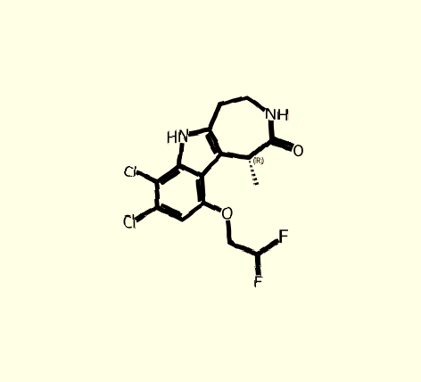 C[C@H]1C(=O)NCCc2[nH]c3c(Cl)c(Cl)cc(OCC(F)F)c3c21